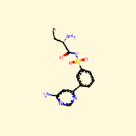 CC(C)C[C@H](N)C(=O)NS(=O)(=O)c1cccc(-c2cc(N)ncn2)c1